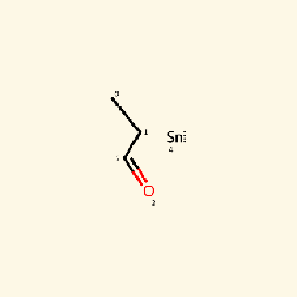 CCC=O.[Sn]